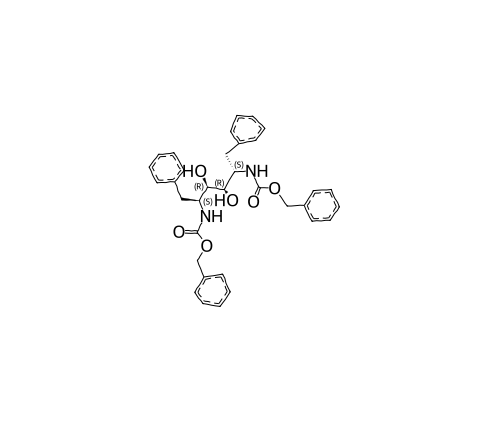 O=C(N[C@@H](Cc1ccccc1)[C@@H](O)[C@H](O)[C@H](Cc1ccccc1)NC(=O)OCc1ccccc1)OCc1ccccc1